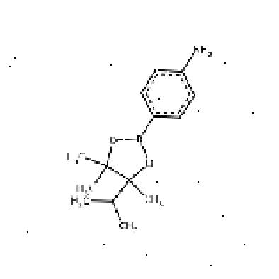 CC(C)C1(C)OB(c2ccc(N)cc2)OC1(C)C